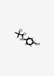 CCC(C)(C)C(=O)Nc1ccc(S)cc1